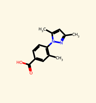 Cc1cc(C)n(-c2ccc(C(=O)O)cc2C)n1